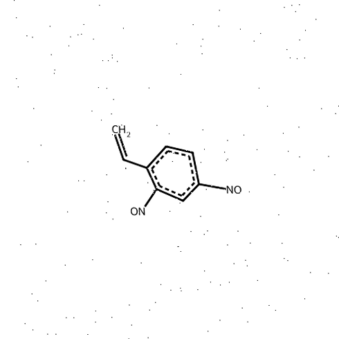 C=Cc1ccc(N=O)cc1N=O